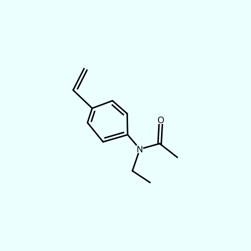 C=Cc1ccc(N(CC)C(C)=O)cc1